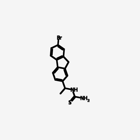 CC(NC(N)=S)c1ccc2c(c1)Cc1cc(Br)ccc1-2